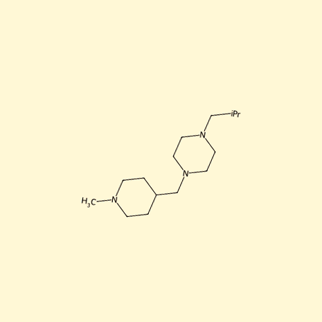 CC(C)CN1CCN(CC2CCN(C)CC2)CC1